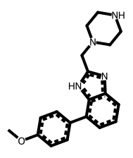 COc1ccc(-c2cccc3nc(CN4CCNCC4)[nH]c23)cc1